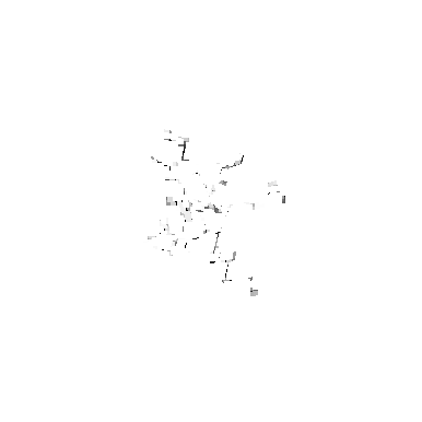 CCCCOC[C@@H](O[Si](CC)(CC)CC)[C@@H](OCCCC)[C@@H](OCCCC)[C@H](CC=O)OCCCC